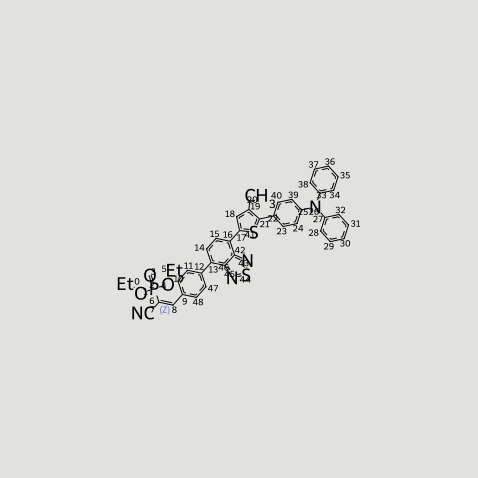 CCOP(=O)(OCC)/C(C#N)=C\c1ccc(-c2ccc(-c3cc(C)c(-c4ccc(N(c5ccccc5)c5ccccc5)cc4)s3)c3nsnc23)cc1